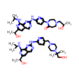 CC(C)Nc1nc([C@@H](C)O)cc2cnc(Nc3ccc(CN4CCN(C(C)(C)CO)CC4)cn3)nc12.CC(C)Nc1nc([C@@H](C)O)cc2cnc(Nc3ccc(N4CCN(C[C@H](C)O)CCC4=O)cn3)nc12